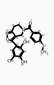 CSc1ccc(C(=O)N2CCc3noc(-c4cc(Cl)c(O)cc4O)c3C2)cc1